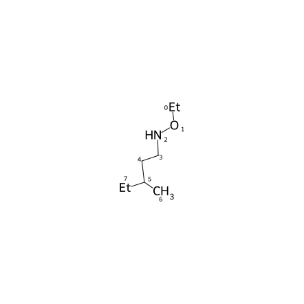 CCONCCC(C)CC